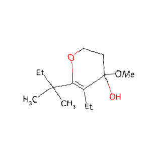 CCC1=C(C(C)(C)CC)OCCC1(O)OC